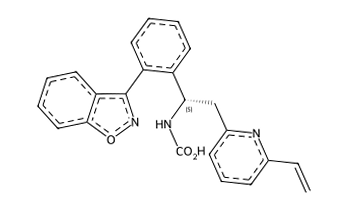 C=Cc1cccc(C[C@H](NC(=O)O)c2ccccc2-c2noc3ccccc23)n1